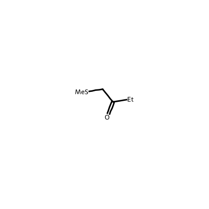 CCC(=O)CSC